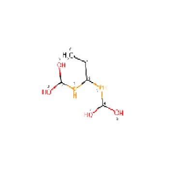 CCC(PC(O)O)PC(O)O